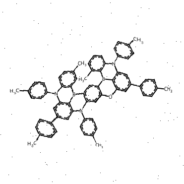 Cc1ccc(-c2cc3c4c(c2)N(c2ccc(C)cc2)c2cccc(C)c2B4c2cc4c(cc2O3)N(c2ccc(C)cc2)c2cc(-c3ccc(C)cc3)cc3c2B4c2cc(C)ccc2N3c2ccc(C)cc2)cc1